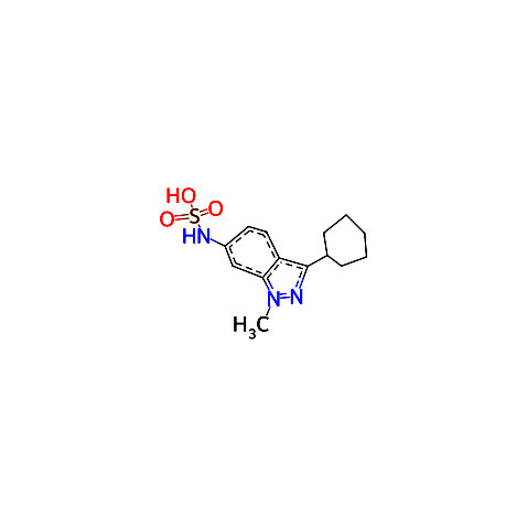 Cn1nc(C2CCCCC2)c2ccc(NS(=O)(=O)O)cc21